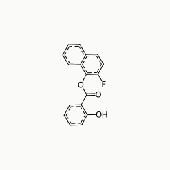 O=C(Oc1c(F)ccc2ccccc12)c1ccccc1O